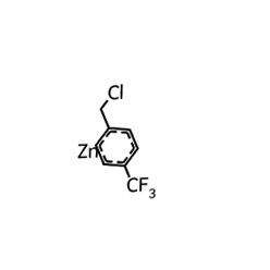 FC(F)(F)c1ccc(CCl)cc1.[Zn]